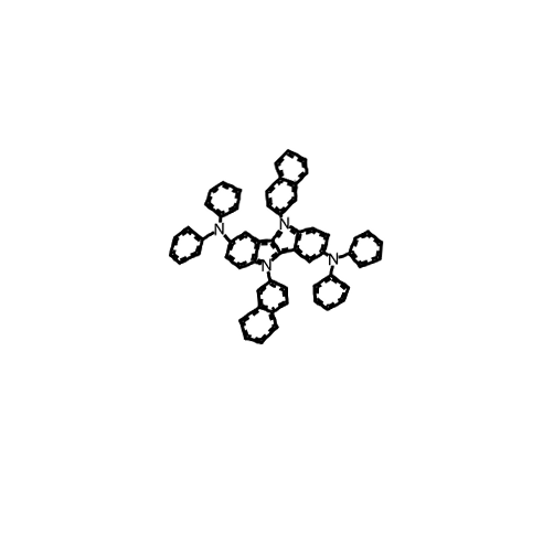 c1ccc(N(c2ccccc2)c2ccc3c(c2)c2c(c4cc(N(c5ccccc5)c5ccccc5)ccc4n2-c2ccc4ccccc4c2)n3-c2ccc3ccccc3c2)cc1